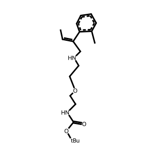 C/C=C(/CNCCOCCNC(=O)OC(C)(C)C)c1ccccc1C